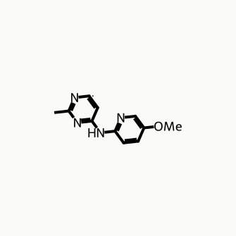 COc1ccc(Nc2c[c]nc(C)n2)nc1